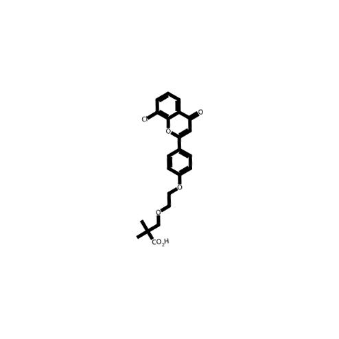 CC(C)(COCCOc1ccc(-c2cc(=O)c3cccc(Cl)c3o2)cc1)C(=O)O